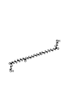 O=C(CSCSCSCSCCOOCSCSCSCSCOC(=O)CSCSCSCSCC(=O)OCSCO)OCSCO